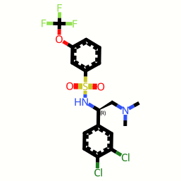 CN(C)C[C@H](NS(=O)(=O)c1cccc(OC(F)(F)F)c1)c1ccc(Cl)c(Cl)c1